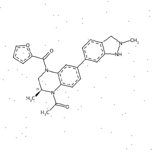 CC(=O)N1c2ccc(-c3ccc4c(c3)NN(C)C4)cc2N(C(=O)c2ccco2)C[C@@H]1C